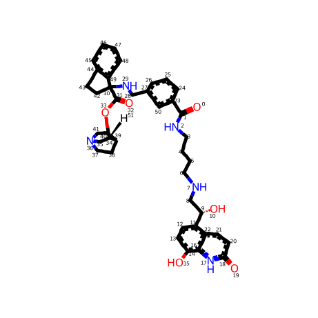 O=C(NCCCCNC[C@H](O)c1ccc(O)c2[nH]c(=O)ccc12)c1cccc(CNC2(C(=O)O[C@H]3CN4CCC3CC4)CCc3ccccc32)c1